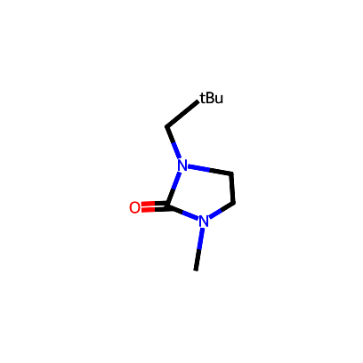 CN1CCN(CC(C)(C)C)C1=O